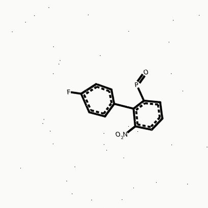 O=Pc1cccc([N+](=O)[O-])c1-c1ccc(F)cc1